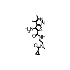 Cc1nnc2sc(C(=O)NCCN(C)C(=O)C3CC3)c(N)c2c1C